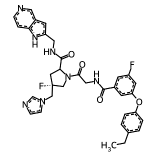 CCc1ccc(Oc2cc(F)cc(C(=O)NCC(=O)N3C[C@@](F)(Cn4ccnc4)CC3C(=O)NCc3cc4cnccc4[nH]3)c2)cc1